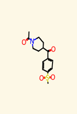 CC(=O)N1CCC(C(=O)c2ccc(S(C)(=O)=O)cc2)CC1